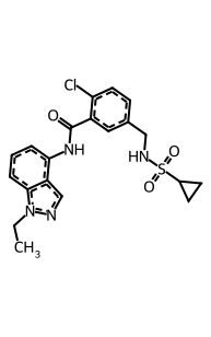 CCn1ncc2c(NC(=O)c3cc(CNS(=O)(=O)C4CC4)ccc3Cl)cccc21